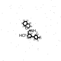 Cl.NC(Cc1cncc(-c2ccc(F)cc2)c1)[C@H]1CCc2ccccc2O1